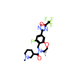 C[C@H]1COc2cc(-c3noc(C(F)(F)F)n3)cc(F)c2CN1C(=O)C1CCCN(C)C1